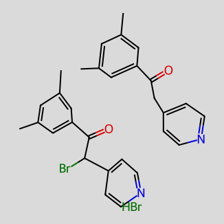 Br.Cc1cc(C)cc(C(=O)C(Br)c2ccncc2)c1.Cc1cc(C)cc(C(=O)Cc2ccncc2)c1